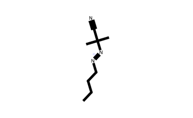 CCCC/N=N/C(C)(C)C#N